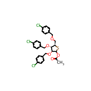 CC(=O)OC1S[C@H](COCc2ccc(Cl)cc2)[C@@H](OCc2ccc(Cl)cc2)[C@@H]1OCc1ccc(Cl)cc1